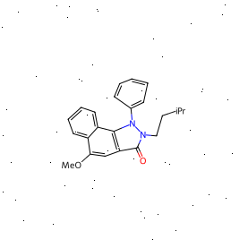 COc1cc2c(=O)n(CCC(C)C)n(-c3ccccc3)c2c2ccccc12